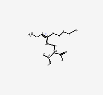 BC/C=C(/CCCCC)CCC(C(=C)C)N(C)C